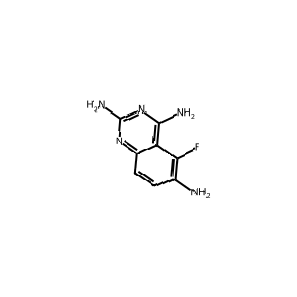 Nc1nc(N)c2c(F)c(N)ccc2n1